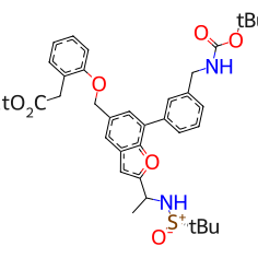 CCOC(=O)Cc1ccccc1OCc1cc(-c2cccc(CNC(=O)OC(C)(C)C)c2)c2oc(C(C)N[S@@+]([O-])C(C)(C)C)cc2c1